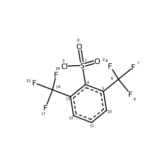 O=S(=O)(Cl)c1c(C(F)(F)F)cccc1C(F)(F)F